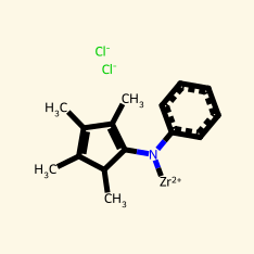 CC1=C(C)C(C)C([N]([Zr+2])c2ccccc2)=C1C.[Cl-].[Cl-]